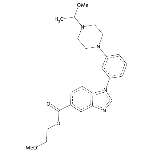 COCCOC(=O)c1ccc2c(c1)ncn2-c1cccc(N2CCN(C(C)OC)CC2)c1